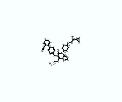 CCCc1c(Cc2ccc(-c3ccccc3C#N)cc2)c(=O)n(C2CCC(OCC(=O)C3CC3)CC2)c2ncnn12